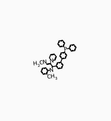 C=N/C=C(/C(=N\c1ccccc1C)c1cccc(-c2ccc(P(c3ccccc3)c3ccccc3)cc2)c1)N1C=CC=CC1